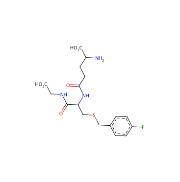 NC(CCC(=O)NC(CSCc1ccc(F)cc1)C(=O)NCC(=O)O)C(=O)O